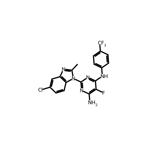 Cc1nc2cc(Cl)ccc2n1-c1nc(N)c(F)c(Nc2ccc(C(F)(F)F)cc2)n1